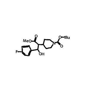 COC(=O)C(C1CCN(C(=O)OC(C)(C)C)CC1)C(O)c1ccc(F)cc1